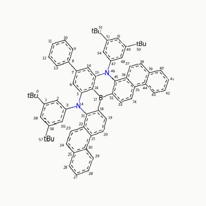 CC(C)(C)c1cc(N2c3cc(-c4ccccc4)cc4c3B(c3ccc5c(ccc6ccccc65)c32)c2ccc3c(ccc5ccccc53)c2N4c2cc(C(C)(C)C)cc(C(C)(C)C)c2)cc(C(C)(C)C)c1